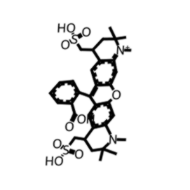 CN1c2cc3c(cc2C(CS(=O)(=O)O)CC1(C)C)C(c1ccccc1C(=O)O)=c1cc2c(cc1O3)=[N+](C)C(C)(C)CC2CS(=O)(=O)O